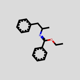 CCOC(=NC(C)Cc1ccccc1)c1ccccc1